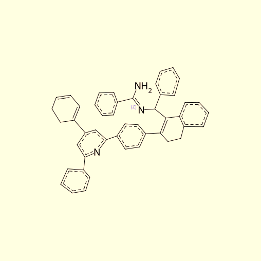 N/C(=N\C(C1=C(c2ccc(-c3cc(C4=CC=CCC4)cc(-c4ccccc4)n3)cc2)CCc2ccccc21)c1ccccc1)c1ccccc1